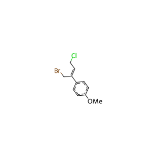 COc1ccc(C(=CCCl)CBr)cc1